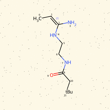 C/C=C(/N)NCCNC(=O)CC(C)(C)C